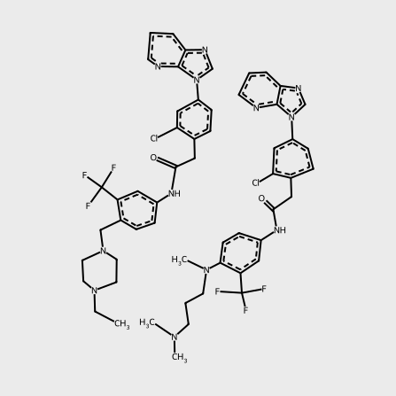 CCN1CCN(Cc2ccc(NC(=O)Cc3ccc(-n4cnc5cccnc54)cc3Cl)cc2C(F)(F)F)CC1.CN(C)CCCN(C)c1ccc(NC(=O)Cc2ccc(-n3cnc4cccnc43)cc2Cl)cc1C(F)(F)F